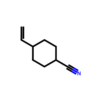 C=CC1CCC(C#N)CC1